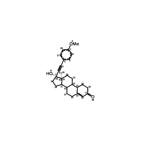 COc1ccc(C#C[C@]2(O)CCC3C4CCC5=CC(=O)CCC5C4CC[C@@]32C)cc1